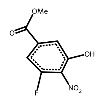 COC(=O)c1cc(O)c([N+](=O)[O-])c(F)c1